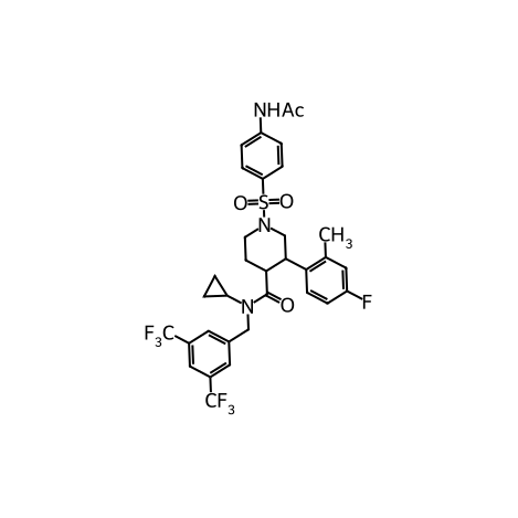 CC(=O)Nc1ccc(S(=O)(=O)N2CCC(C(=O)N(Cc3cc(C(F)(F)F)cc(C(F)(F)F)c3)C3CC3)C(c3ccc(F)cc3C)C2)cc1